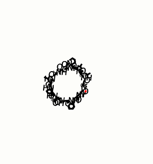 CC(C)C[C@@H]1NC(=O)[C@H](C)NC(=O)C[C@@H](C(=O)N2CCCCC2)NC(=O)[C@H](CC(C)C)N(C)C(=O)[C@H](CC(C)C)NC(=O)[C@H](C)N(C)C(=O)[C@H](C(C)C)N(C)C(=O)[C@H](Cc2ccccc2)NC(=O)CN(C)C(=O)[C@H]([C@@H](C)O)NC(=O)C2(CCCC2)NC1=O